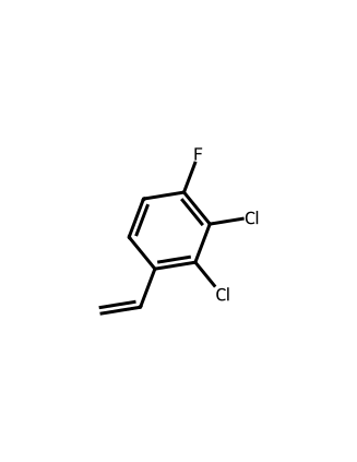 C=Cc1ccc(F)c(Cl)c1Cl